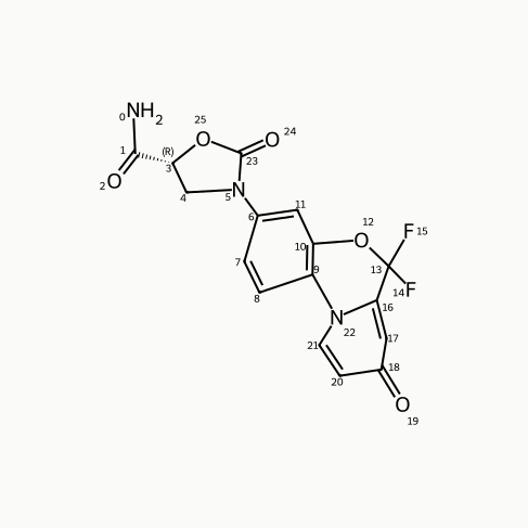 NC(=O)[C@H]1CN(c2ccc3c(c2)OC(F)(F)c2cc(=O)ccn2-3)C(=O)O1